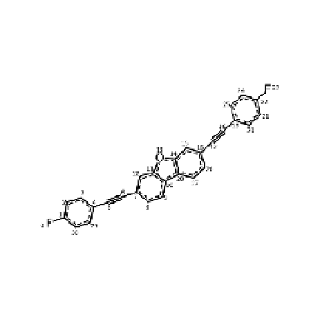 Fc1ccc(C#Cc2ccc3c(c2)oc2cc(C#Cc4ccc(F)cc4)ccc23)cc1